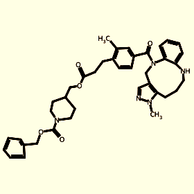 Cc1cc(C(=O)N2Cc3cnn(C)c3CCCNc3ccccc32)ccc1CCC(=O)OCC1CCN(C(=O)OCc2ccccc2)CC1